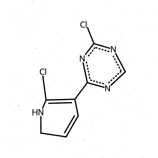 ClC1=C(c2ncnc(Cl)n2)C=CCN1